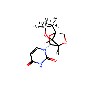 [2H][C@@H](C)[C@]12CO[C@H]([C@H](n3ccc(=O)[nH]c3=O)O1)[C@H]2O[Si](C)(C)C(C)(C)C